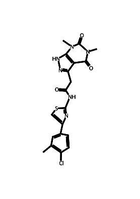 Cc1cc(-c2csc(NC(=O)Cc3n[nH]c4c3c(=O)n(C)c(=O)n4C)n2)ccc1Cl